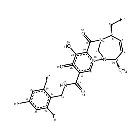 C[C@@H]1C=C[C@H](CF)N2CN1n1cc(C(=O)NCc3c(F)cc(F)cc3F)c(=O)c(O)c1C2=O